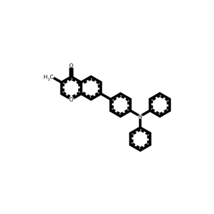 Cc1coc2cc(-c3ccc(N(c4ccccc4)c4ccccc4)cc3)ccc2c1=O